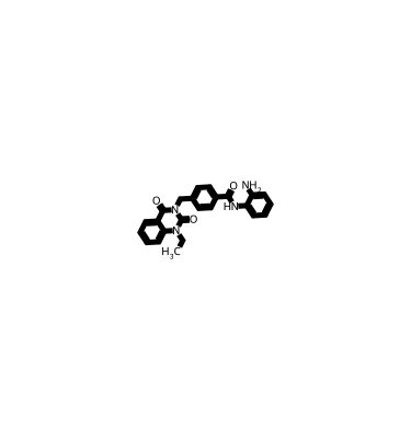 CCn1c(=O)n(Cc2ccc(C(=O)Nc3ccccc3N)cc2)c(=O)c2ccccc21